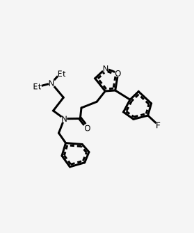 CCN(CC)CCN(Cc1ccccc1)C(=O)CCc1cnoc1-c1ccc(F)cc1